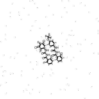 O=C(NC(=O)c1c(F)cccc1F)Nc1cc(Cl)c(F)c(Cl)c1F.O=C(NC(=O)c1ccccc1Cl)Nc1ccc(OC(F)(F)F)cc1